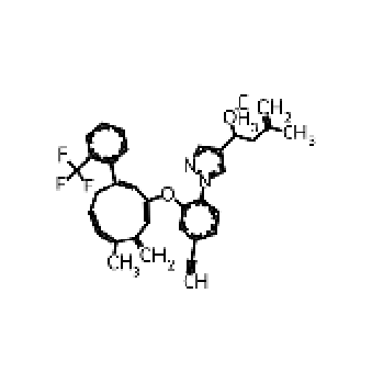 C#Cc1ccc(-n2cc(C(CC(=C)C)OC)cn2)c(OC2=C/C(=C)C(C)=C=CC/C(c3ccccc3C(F)(F)F)=C\2)c1